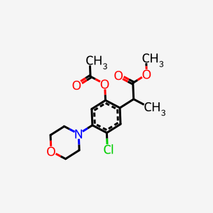 COC(=O)C(C)c1cc(Cl)c(N2CCOCC2)cc1OC(C)=O